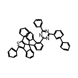 c1ccc(-c2cccc(-c3nc(-c4ccccc4)nc(-c4cccc5c4-c4ccccc4C54c5ccccc5-c5c(-c6ccccc6)sc(-c6ccccc6)c54)n3)c2)cc1